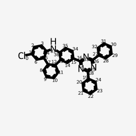 Clc1ccc2c(c1)-c1ccccc1-c1cc(-c3nc(-c4ccccc4)nc(-c4ccccc4)n3)ccc1N2